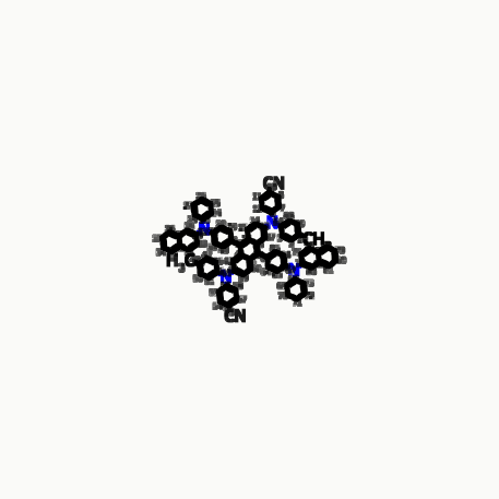 Cc1ccc(N(c2ccc(C#N)cc2)c2ccc3c(-c4ccc(N(c5ccccc5)c5ccc6ccccc6c5)cc4)c4cc(N(c5ccc(C)cc5)c5ccc(C#N)cc5)ccc4c(-c4ccc(N(C5=CCCC=C5)c5ccc6ccccc6c5)cc4)c3c2)cc1